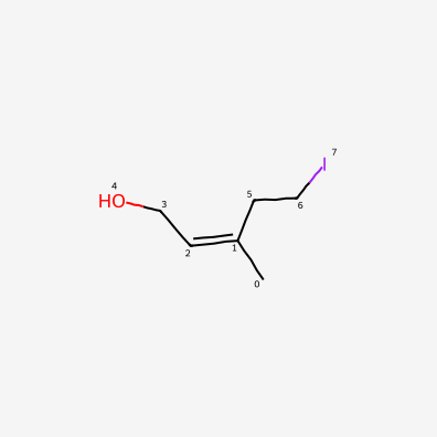 C/C(=C/CO)CCI